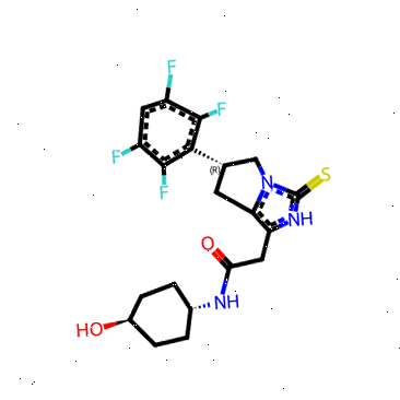 O=C(Cc1[nH]c(=S)n2c1C[C@H](c1c(F)c(F)cc(F)c1F)C2)N[C@H]1CC[C@H](O)CC1